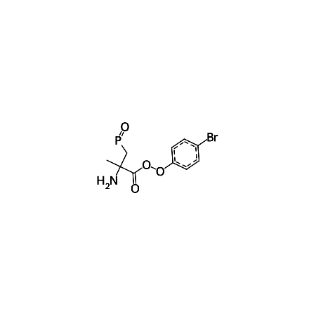 CC(N)(CP=O)C(=O)OOc1ccc(Br)cc1